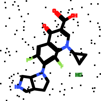 Cl.O=C(O)c1cn(C2CC2)c2c(F)c(N3CCC4CNCC43)c(F)cc2c1=O